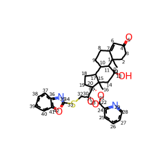 CC12CCC(=O)C=C1CCC1C2[C@@H](O)CC2(C)C1CC[C@]2(OC(=O)c1ccccn1)C(=O)CSc1nc2ccccc2o1